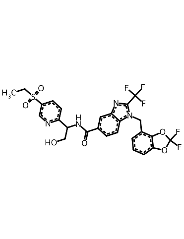 CCS(=O)(=O)c1ccc(C(CO)NC(=O)c2ccc3c(c2)nc(C(F)(F)F)n3Cc2cccc3c2OC(F)(F)O3)nc1